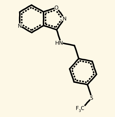 FC(F)(F)Sc1ccc(CNc2noc3ccncc23)cc1